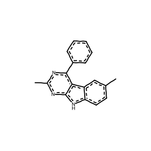 Cc1ccc2[nH]c3nc(C)nc(-c4ccccc4)c3c2c1